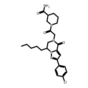 CCCCCC1CN(CC(=O)N2CCCC(C(N)=O)C2)C(=O)c2cc(-c3ccc(Cl)cc3)nn21